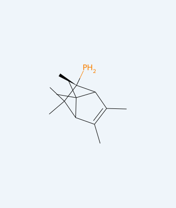 CC1=C(C)C2C(C)(C)C1C(C)(C)[C@]2(C)P